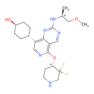 COC[C@H](C)Nc1ncc2c(O[C@H]3CCNCC3(F)F)ncc([C@H]3CC[C@H](O)CC3)c2n1